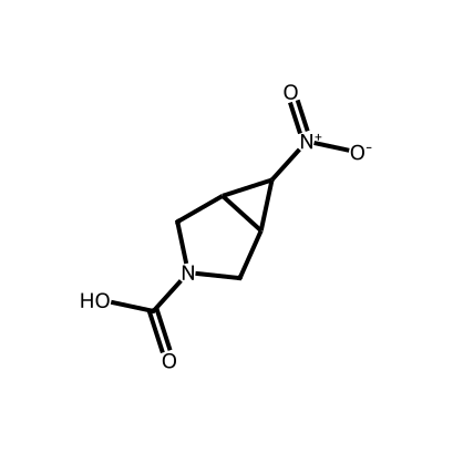 O=C(O)N1CC2C(C1)C2[N+](=O)[O-]